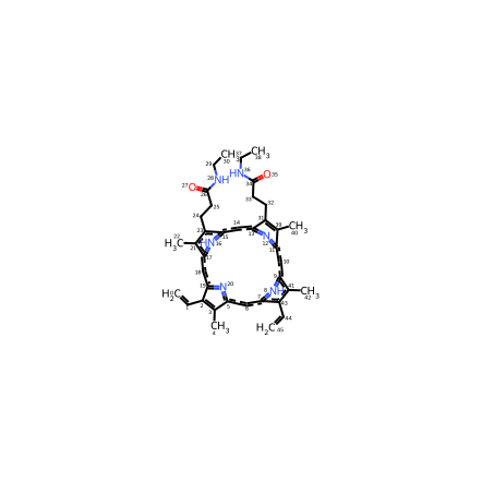 C=CC1=C(C)c2cc3[nH]c(cc4nc(cc5[nH]c(cc1n2)c(C)c5CCC(=O)NCC)C(CCC(=O)NCC)=C4C)c(C)c3C=C